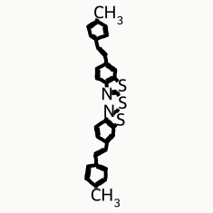 Cc1ccc(/C=C/c2ccc3nc(Sc4nc5ccc(/C=C/c6ccc(C)cc6)cc5s4)sc3c2)cc1